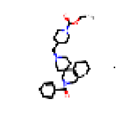 CCOC(=O)N1CCC(CN2CCC3(CC2)CN(C(=O)C2C=CCCC2)CC2=C3CCCC2)CC1